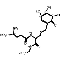 N[C@@H](CCC(=O)NC(CSCC1=C[C@@H](O)[C@@H](O)[C@@H](O)C1=O)C(=O)NCC(=O)O)C(=O)O